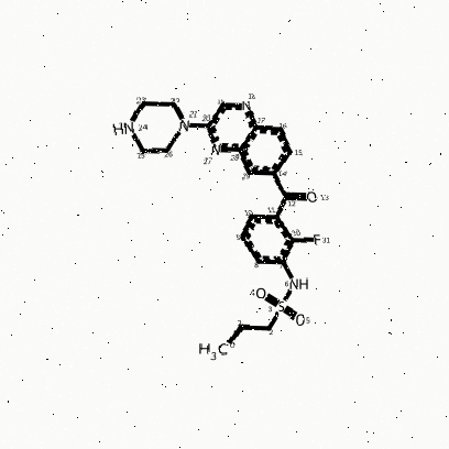 CCCS(=O)(=O)Nc1cccc(C(=O)c2ccc3ncc(N4CCNCC4)nc3c2)c1F